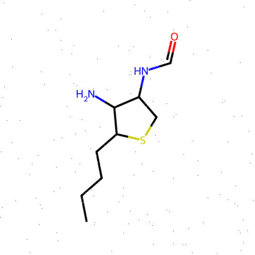 CCCCC1SCC(NC=O)C1N